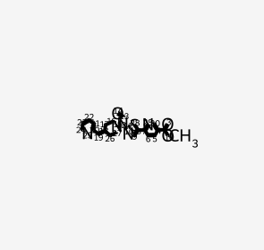 COC(=O)c1ccc(-c2cnc(N(C=O)N3CCC(=Cc4ccccn4)CC3)s2)nc1